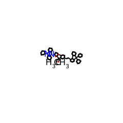 CCC1(CC)c2cc(/C=C/c3cccc4c3-c3ccccc3C4(c3ccccc3)c3ccccc3)ccc2-c2ccc(N3c4ccccc4N(c4ccccc4)c4ccccc43)cc21